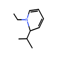 CCN1C=CC=CC1C(C)C